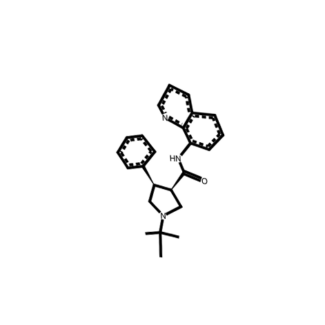 CC(C)(C)N1C[C@H](C(=O)Nc2cccc3cccnc23)[C@H](c2ccccc2)C1